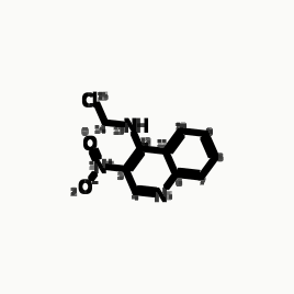 O=[N+]([O-])c1cnc2ccccc2c1NCCl